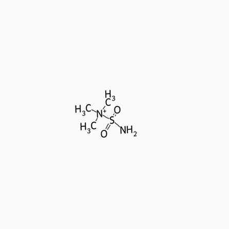 C[N+](C)(C)S(N)(=O)=O